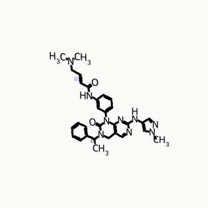 C[C@@H](c1ccccc1)N1Cc2cnc(Nc3cnn(C)c3)nc2N(c2cccc(NC(=O)/C=C/CN(C)C)c2)C1=O